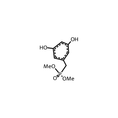 COP(=O)(Cc1cc(O)cc(O)c1)OC